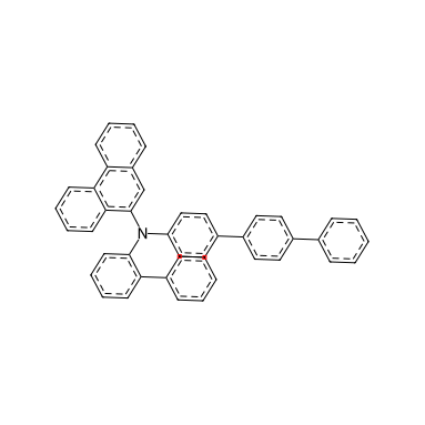 c1ccc(-c2ccc(-c3ccc(N(c4ccccc4-c4ccccc4)c4cc5ccccc5c5ccccc45)cc3)cc2)cc1